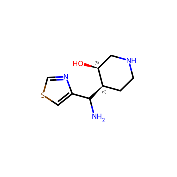 NC(c1cscn1)[C@@H]1CCNC[C@@H]1O